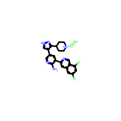 Cl.Cl.Cl.Nc1ncc(-c2c[nH]nc2C2CCNCC2)cc1-c1cc2cc(Cl)cc(Cl)c2cn1